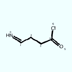 N=CCCC(=O)Cl